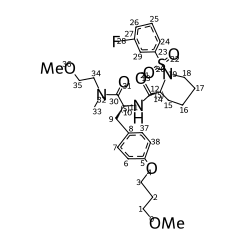 COCCCOc1ccc(C[C@H](NC(=O)[C@@H]2CCCCN2S(=O)(=O)c2cccc(F)c2)C(=O)N(C)CCOC)cc1